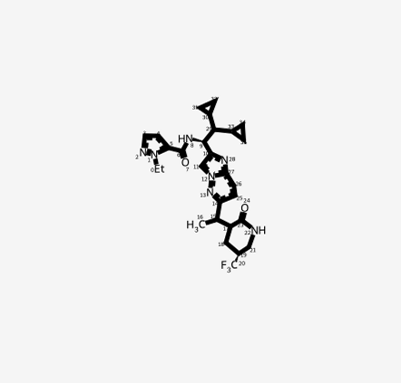 CCn1nccc1C(=O)N[C@H](c1cn2nc(C(C)C3C[C@@H](C(F)(F)F)CNC3=O)ccc2n1)C(C1CC1)C1CC1